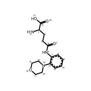 NC(CCC(=O)Nc1ccccc1N1CCOCC1)C(=O)O